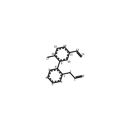 C=CCc1ccccc1-c1cc(C=C)ccc1C